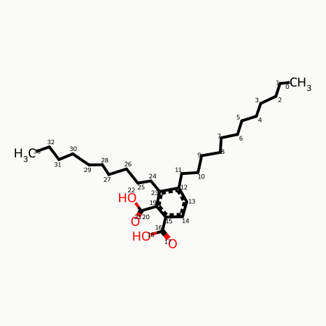 CCCCCCCCCCCCc1ccc(C(=O)O)c(C(=O)O)c1CCCCCCCCCC